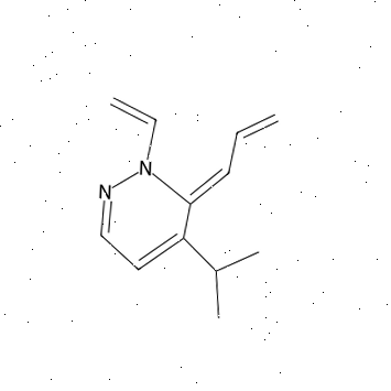 C=C/C=C1/C(C(C)C)=CC=NN1C=C